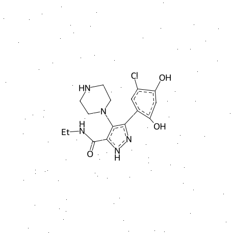 CCNC(=O)c1[nH]nc(-c2cc(Cl)c(O)cc2O)c1N1CCNCC1